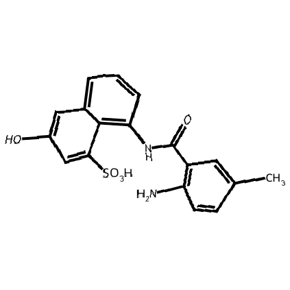 Cc1ccc(N)c(C(=O)Nc2cccc3cc(O)cc(S(=O)(=O)O)c23)c1